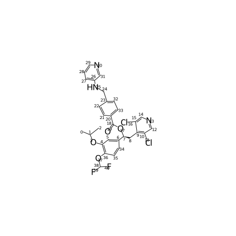 CC(C)Oc1cc([C@H](Cc2c(Cl)cncc2Cl)OC(=O)c2ccc(CNc3cccnc3)cc2)ccc1OC(F)F